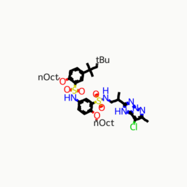 CCCCCCCCOc1ccc(NS(=O)(=O)c2cc(C(C)(C)CC(C)(C)C)ccc2OCCCCCCCC)cc1S(=O)(=O)NCC(C)c1nn2nc(C)c(Cl)c2[nH]1